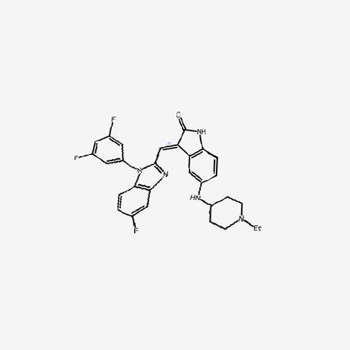 CCN1CCC(Nc2ccc3c(c2)/C(=C\c2nc4cc(F)ccc4n2-c2cc(F)cc(F)c2)C(=O)N3)CC1